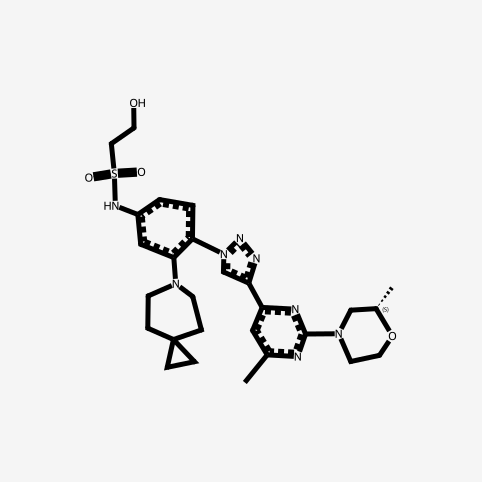 Cc1cc(-c2cn(-c3ccc(NS(=O)(=O)CCO)cc3N3CCC4(CC3)CC4)nn2)nc(N2CCO[C@@H](C)C2)n1